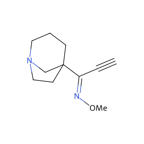 C#CC(=NOC)C12CCCN(CC1)C2